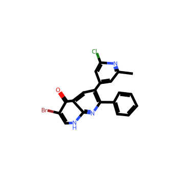 Cc1cc(-c2cc3c(=O)c(Br)c[nH]c3nc2-c2ccccc2)cc(Cl)n1